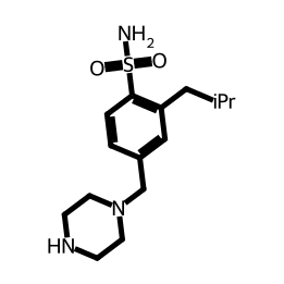 CC(C)Cc1cc(CN2CCNCC2)ccc1S(N)(=O)=O